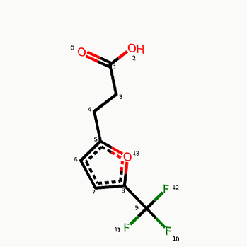 O=C(O)CCc1ccc(C(F)(F)F)o1